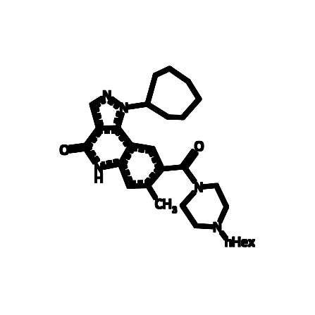 CCCCCCN1CCN(C(=O)c2cc3c(cc2C)[nH]c(=O)c2cnn(C4CCCCCC4)c23)CC1